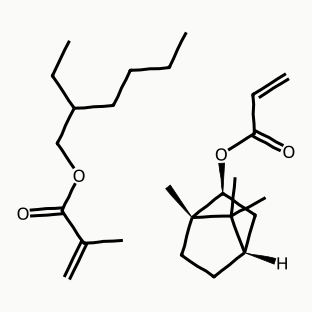 C=C(C)C(=O)OCC(CC)CCCC.C=CC(=O)O[C@H]1C[C@@H]2CC[C@@]1(C)C2(C)C